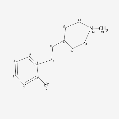 CCc1ccccc1CCC1CCN(C)CC1